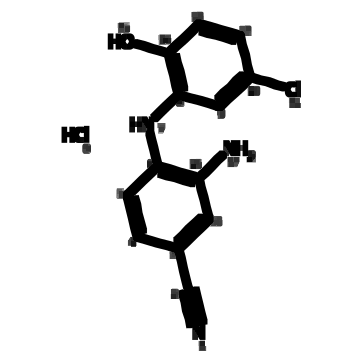 Cl.N#Cc1ccc(Nc2cc(Cl)ccc2O)c(N)c1